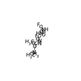 CCN(CC)CCCOc1cc2ncnc(Oc3ccc(NC(=O)C4(C(=O)Nc5ccc(F)cc5)CC4)cc3F)c2cc1OC